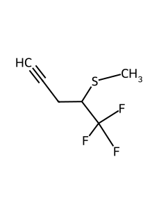 C#CCC(SC)C(F)(F)F